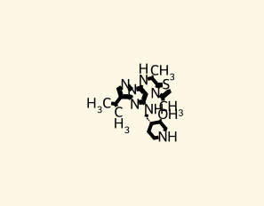 Cc1csc([C@H](C)Nc2cc(NC[C@H]3CCNC[C@@H]3O)nc3c(C(C)C)cnn23)n1